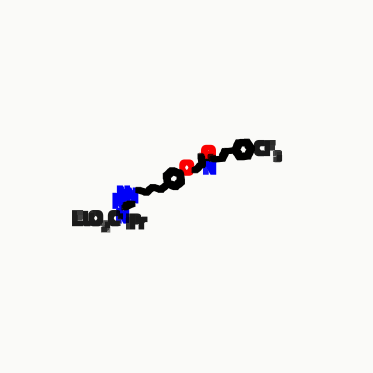 CCOC(=O)N(c1cn(CCCCc2ccc(OCc3coc(/C=C/c4ccc(C(F)(F)F)cc4)n3)cc2)nn1)C(C)C